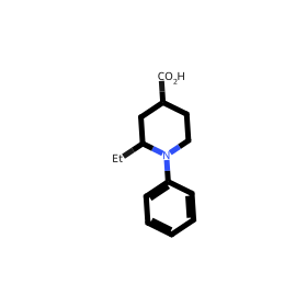 CCC1CC(C(=O)O)CCN1c1ccccc1